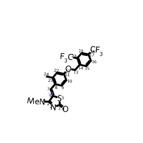 CNC1=NC(=O)S/C1=C\c1ccc(OCc2ccc(C(F)(F)F)cc2C(F)(F)F)cc1C